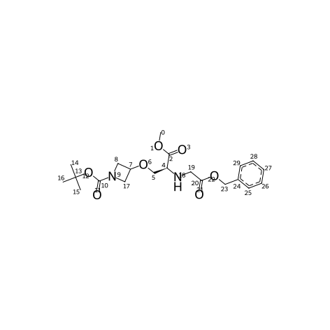 COC(=O)[C@H](COC1CN(C(=O)OC(C)(C)C)C1)NCC(=O)OCc1ccccc1